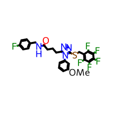 COc1cccc(-n2c(CCCC(=O)NCc3ccc(F)cc3)nnc2SCc2c(F)c(F)c(F)c(F)c2F)c1